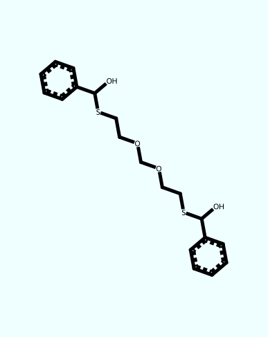 OC(SCCOCOCCSC(O)c1ccccc1)c1ccccc1